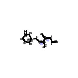 C=C/C=C(C)\C(F)=C/C[C@H]1CCCNC1